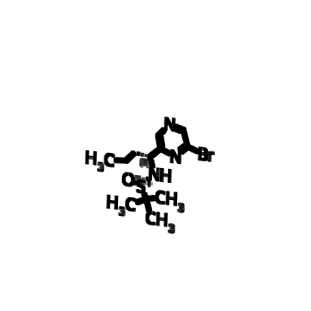 CCC[C@@H](N[S@+]([O-])C(C)(C)C)c1cncc(Br)n1